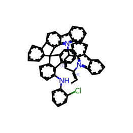 C/C=C(\C=C/C(C)n1c2ccccc2c2ccc3c(c21)C1(c2ccccc2-3)c2ccccc2-c2c(Nc3ccccc3Cl)cccc21)n1c2ccccc2c2ccccc21